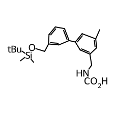 Cc1cc(CNC(=O)O)cc(-c2cccc(CO[Si](C)(C)C(C)(C)C)c2)c1